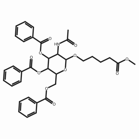 COC(=O)CCCCOC1OC(COC(=O)c2ccccc2)C(OC(=O)c2ccccc2)C(OC(=O)c2ccccc2)C1NC(C)=O